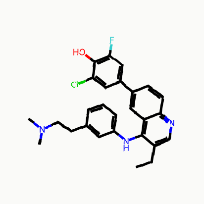 CCc1cnc2ccc(-c3cc(F)c(O)c(Cl)c3)cc2c1Nc1cccc(CCN(C)C)c1